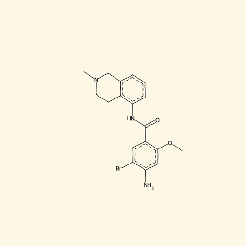 COc1cc(N)c(Br)cc1C(=O)Nc1cccc2c1CCN(C)C2